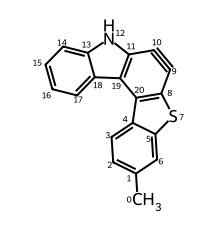 Cc1ccc2c(c1)sc1c#cc3[nH]c4ccccc4c3c12